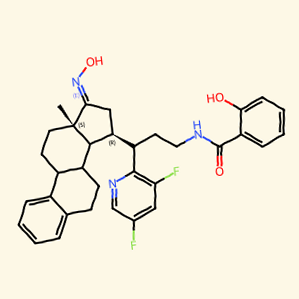 C[C@]12CCC3c4ccccc4CCC3C1[C@H](C(CCNC(=O)c1ccccc1O)c1ncc(F)cc1F)C/C2=N\O